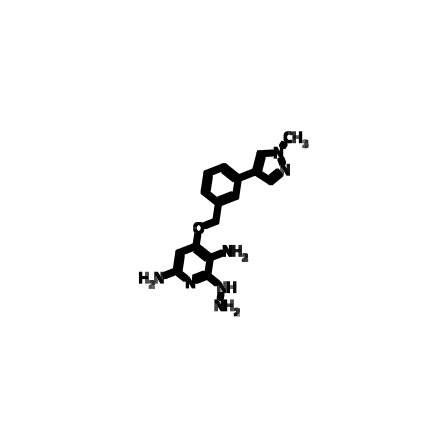 Cn1cc(-c2cccc(COc3cc(N)nc(NN)c3N)c2)cn1